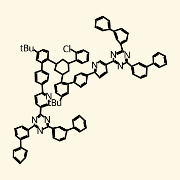 CC(C)(C)c1ccc(C2CC(c3ccccc3Cl)CC(c3ccc(C(C)(C)C)cc3-c3ccc(-c4ccc(-c5nc(-c6cccc(-c7ccccc7)c6)nc(-c6cccc(-c7ccccc7)c6)n5)cn4)cc3)C2)c(-c2ccc(-c3ccc(-c4nc(-c5cccc(-c6ccccc6)c5)nc(-c5cccc(-c6ccccc6)c5)n4)cn3)cc2)c1